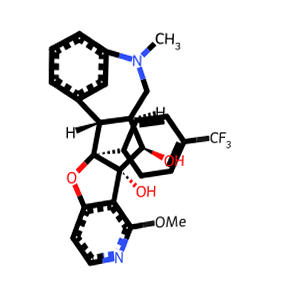 COc1nccc2c1[C@]1(O)[C@H](O)[C@@H]3CN(C)c4cccc(c4)[C@H]3[C@]1(C1C=CC(C(F)(F)F)=CC1)O2